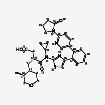 C[C@@H]1COCCC1C[C@H](CC(=O)O)C(=O)N(c1nc(-c2ccccc2-c2ccc(N3CCCC3=O)nc2)cs1)C1CC1